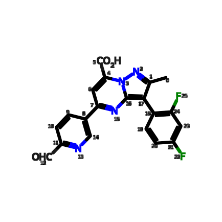 Cc1nn2c(C(=O)O)cc(-c3ccc(C=O)nc3)nc2c1-c1ccc(F)cc1F